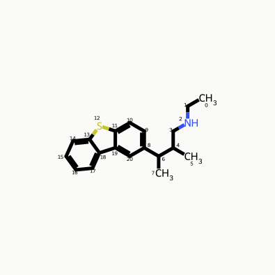 CCNCC(C)C(C)c1ccc2sc3ccccc3c2c1